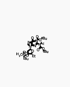 CC[C@H]1O[C@@H](n2cnc3c(=O)n(C(=O)OC(C)(C)C)c(N(C(C)=O)C(=O)OC(C)(C)C)nc32)CC1O[Si](C)(C)C(C)(C)C